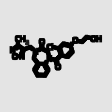 Cc1nonc1CN1Cc2ccccc2N(C(=O)c2ccc(OCCO)cc2Cl)CC1=O